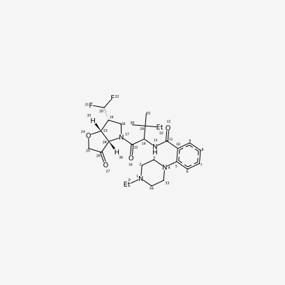 CCN1CCN(c2ccccc2C(=O)NC(C(=O)N2C[C@@H](C(F)F)[C@H]3OCC(=O)[C@H]32)C(C)(C)CC)CC1